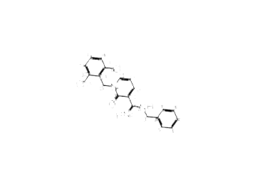 N=C(NCc1ccccc1)c1cccn(Cc2c(Cl)cccc2Cl)c1=O